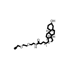 C#CCOCCOCCNC(=O)CC[C@@H](C)[C@H]1CC[C@H]2[C@@H]3CC=C4C[C@@H](O)CC[C@]4(C)[C@H]3CC[C@]12C